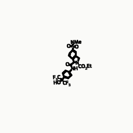 CCOC(=O)N1Cc2cc(S(=O)(=O)NC)ccc2C1C(=O)Nc1ccc(C(O)(C(F)(F)F)C(F)(F)F)cc1